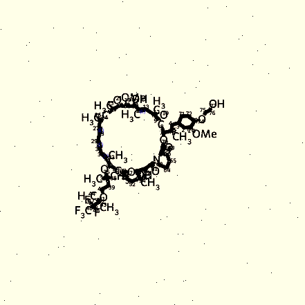 CO[C@@H]1CC(C[C@@H](C)C2CC(=O)[C@H](C)/C=C(\C)[C@@H](O)[C@@H](OC)C(=O)[C@H](C)C[C@H](C)/C=C/C=C/C=C(\C)C(OC(C)(C)CCOC(C)(C)C(F)(F)C(F)(F)F)C[C@@H]3CC[C@@H](C)[C@@](O)(O3)C(=O)C(=O)N3CCCC[C@H]3C(=O)O2)CC[C@H]1OCCO